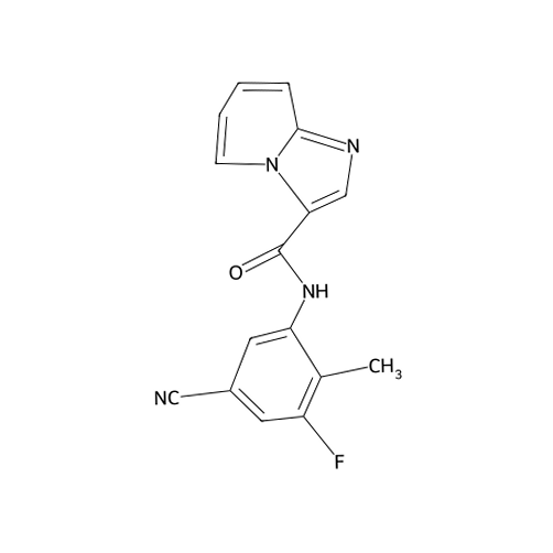 Cc1c(F)cc(C#N)cc1NC(=O)c1cnc2ccccn12